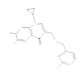 Cc1cc(CNCc2cn(C3CC3)c3nc(O)c(F)cc3c2=O)ccn1